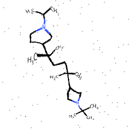 CC(C)N1CCC(C(C)(C)CCC(C)(C)C2CN(C(C)(C)C)C2)C1